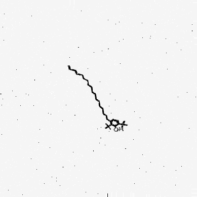 CCCCCCCCCCCCCCCCCCc1ccc(C(C)(C)C)c(O)c1C(C)(C)C